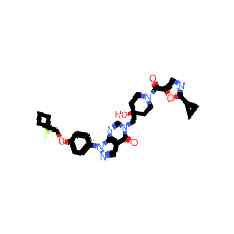 O=C(c1cnc(C2CC2)o1)N1CCC(O)(Cn2cnc3c(cnn3-c3ccc(OCC4(F)CCC4)cc3)c2=O)CC1